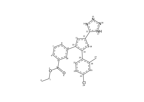 CCOC(=O)c1cccc(-c2cc(-c3nnn[nH]3)sc2-c2ccc(Cl)cc2C)c1